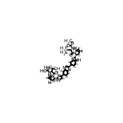 COC(=O)N[C@H](C(=O)N1[C@@H]2C[C@H]2C[C@H]1c1nc2cc(-c3cnc4cc(-c5c[nH]c([C@@H]6C[C@H]7C[C@H]7N6C(=O)[C@@H](NC(=O)O)C(C)C)n5)ccc4n3)ccc2[nH]1)C(C)C